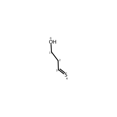 O[CH]C[C]=S